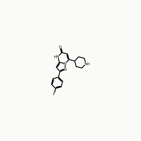 O=c1cc(C2CCNCC2)n2nc(-c3ccc(F)cc3)cc2[nH]1